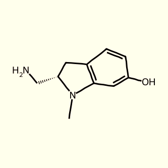 CN1c2cc(O)ccc2C[C@H]1CN